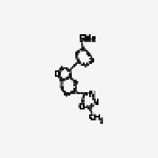 CSc1cccc(-c2coc3ccc(-c4nnc(C)o4)cc23)c1